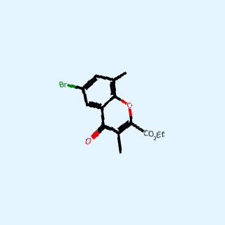 CCOC(=O)c1oc2c(C)cc(Br)cc2c(=O)c1C